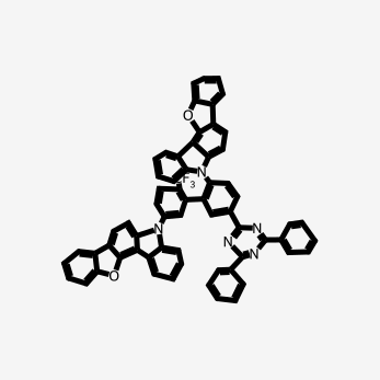 FC(F)(F)c1ccc(-n2c3ccccc3c3c4oc5ccccc5c4ccc32)cc1-c1cc(-c2nc(-c3ccccc3)nc(-c3ccccc3)n2)ccc1-n1c2ccccc2c2c3oc4ccccc4c3ccc21